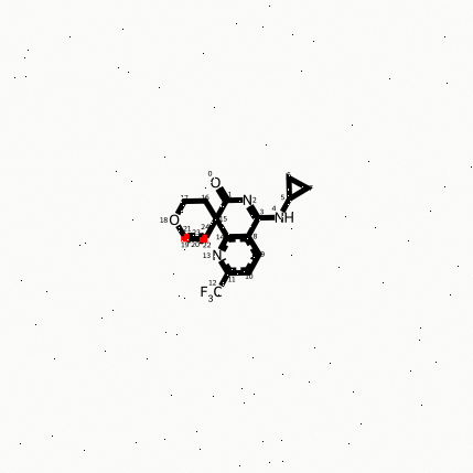 O=C1N=C(NC2CC2)c2ccc(C(F)(F)F)nc2C12CCOc1ccccc12